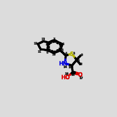 CC1(C)SC(c2ccc3c(c2)CCC3)NC1C(=O)O